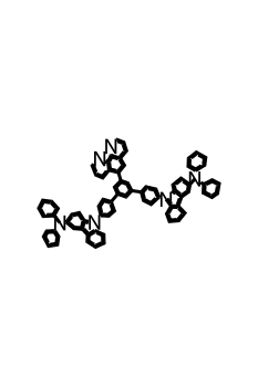 c1ccc(N(c2ccccc2)c2ccc3c(c2)c2ccccc2n3-c2ccc(-c3cc(-c4ccc(-n5c6ccccc6c6cc(N(c7ccccc7)c7ccccc7)ccc65)cc4)cc(-c4cc5cccnc5c5ncccc45)c3)cc2)cc1